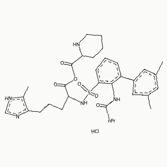 CCCC(=O)Nc1c(-c2cc(C)cc(C)c2)cccc1S(=O)(=O)NC(CCCc1nc[nH]c1C)C(=O)OC(=O)C1CCCCN1.Cl